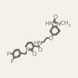 Cn1c(=O)[nH]c2cc(OCCNC(=O)c3cccn(Cc4ccc(F)c(F)c4)c3=O)ccc21